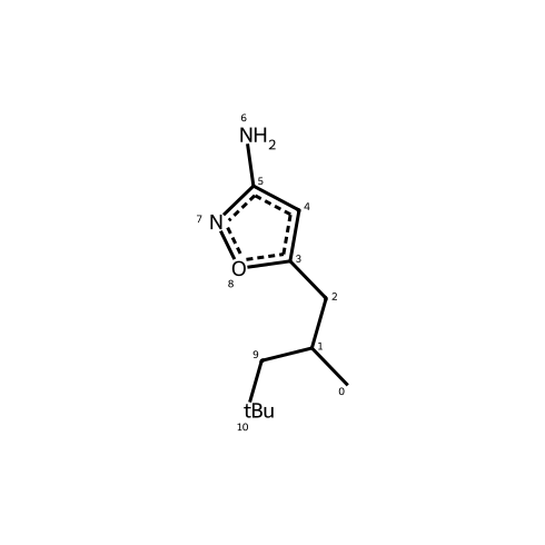 CC(Cc1cc(N)no1)CC(C)(C)C